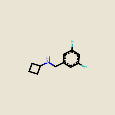 Fc1cc(F)cc(CNC2CCC2)c1